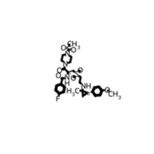 COc1ccc([C@@H]2CC2(C)NCCS(=O)(=O)C[C@@H](NC(=O)c2ccc(F)cc2)C(=O)N2CCN(S(C)(=O)=O)CC2)cc1